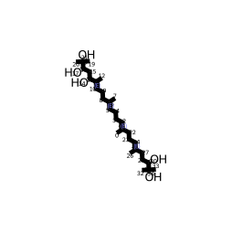 C/C(=C\CC/C=C(\C)CC/C=C(\C)C(O)CC(O)C(C)(C)O)CC/C=C(\C)CCC(O)C(C)(C)O